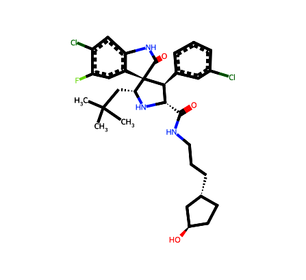 CC(C)(C)C[C@H]1N[C@@H](C(=O)NCCC[C@@H]2CC[C@@H](O)C2)[C@H](c2cccc(Cl)c2)[C@@]12C(=O)Nc1cc(Cl)c(F)cc12